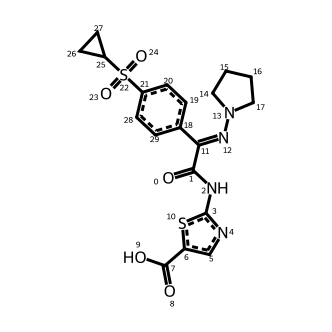 O=C(Nc1ncc(C(=O)O)s1)/C(=N/N1CCCC1)c1ccc(S(=O)(=O)C2CC2)cc1